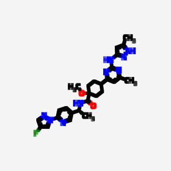 COC1(C(=O)N[C@@H](C)c2ccc(-n3cc(F)cn3)nc2)CCC(c2cc(C)nc(Nc3cc(C)[nH]n3)n2)CC1